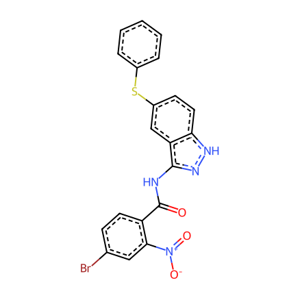 O=C(Nc1n[nH]c2ccc(Sc3ccccc3)cc12)c1ccc(Br)cc1[N+](=O)[O-]